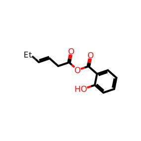 CCC=CCC(=O)OC(=O)c1ccccc1O